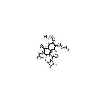 CCn1cc(C(=O)N2CCC2)c2cc(OC)c(OC)cc2c1=O